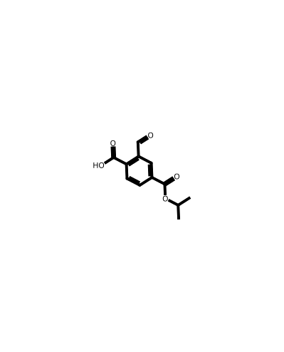 CC(C)OC(=O)c1ccc(C(=O)O)c(C=O)c1